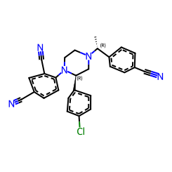 C[C@H](c1ccc(C#N)cc1)N1CCN(c2ccc(C#N)cc2C#N)[C@H](c2ccc(Cl)cc2)C1